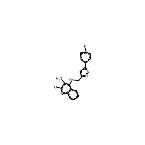 Nc1c(Cl)nc2ccccc2c1NCc1cc(-c2ccc(F)cc2)no1